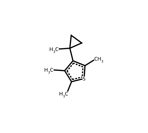 Cc1sc(C)c(C2(C)CC2)c1C